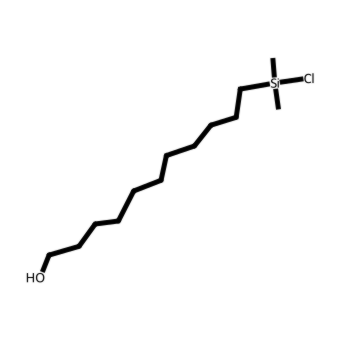 C[Si](C)(Cl)CCCCCCCCCCCO